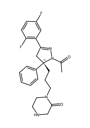 CC(=O)N1N=C(c2cc(F)ccc2F)C[C@@]1(CCCN1CCNCC1=O)c1ccccc1